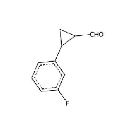 O=CC1CC1c1cccc(F)c1